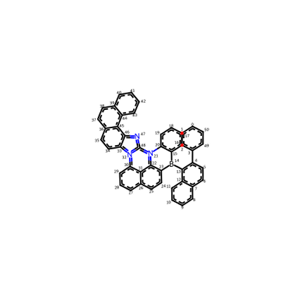 c1ccc(-c2ccc3ccccc3c2B2c3ccccc3-n3c4c2ccc2cccc(c24)n2c4ccc5ccc6ccccc6c5c4nc32)cc1